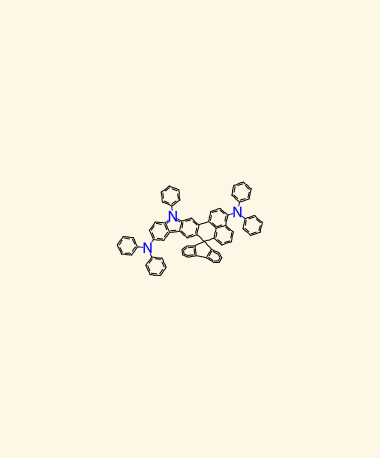 c1ccc(N(c2ccccc2)c2ccc3c(c2)c2cc4c(cc2n3-c2ccccc2)-c2ccc(N(c3ccccc3)c3ccccc3)c3cccc(c23)C42c3ccccc3-c3ccccc32)cc1